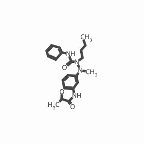 CCCCN(C(=O)Nc1ccccc1)N(C)c1ccc2c(c1)NC(=O)C(C)O2